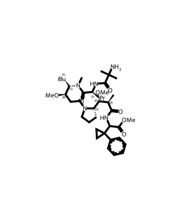 CC[C@H](C)[C@@H]([C@@H](CC(=O)N1CCC[C@H]1[C@H](OC)[C@@H](C)C(=O)NC(C(=O)OC)C1(c2ccccc2)CC1)OC)N(C)C(=O)[C@@H](NC(=O)C(C)(C)N)C(C)C